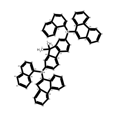 CC1(C)c2cc(N(c3cccc4ccccc34)c3cc4ccccc4c4ccccc34)ccc2-c2ccc(N(c3cccc4ccccc34)c3cc4ccccc4c4ccccc34)cc21